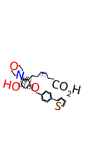 O=C(O)CC/C=C\CC[C@@H]1[C@@H](N2CCOCC2)[C@@H](O)C[C@@H]1OCc1ccc(-c2cccs2)cc1